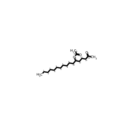 CCCCCCCCCCCC(CCCC(C)=O)OC(C)=O